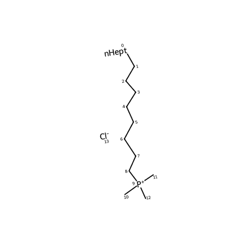 CCCCCCCCCCCCCCC[P+](C)(C)C.[Cl-]